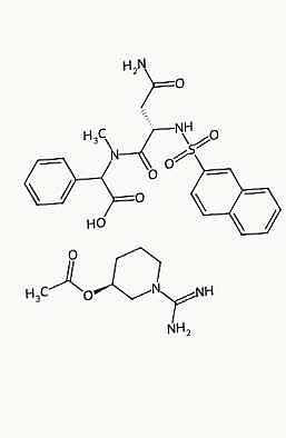 CC(=O)O[C@H]1CCCN(C(=N)N)C1.CN(C(=O)[C@H](CC(N)=O)NS(=O)(=O)c1ccc2ccccc2c1)C(C(=O)O)c1ccccc1